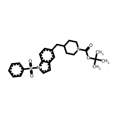 CC(C)(C)OC(=O)N1CCC(Cc2ccc3c(ccn3S(=O)(=O)c3ccccc3)c2)CC1